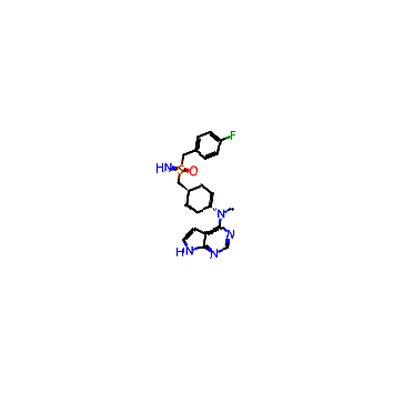 CN(c1ncnc2[nH]ccc12)[C@H]1CC[C@H](CS(=N)(=O)Cc2ccc(F)cc2)CC1